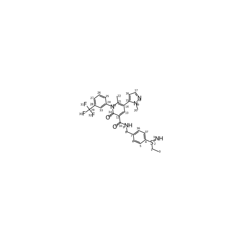 CCS(=N)c1ccc(CNC(=O)c2cc(-c3ccnn3C)c(C)n(-c3cccc(C(F)(F)F)c3)c2=O)cc1